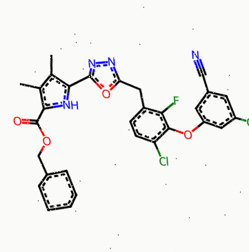 Cc1c(C(=O)OCc2ccccc2)[nH]c(-c2nnc(Cc3ccc(Cl)c(Oc4cc(Cl)cc(C#N)c4)c3F)o2)c1C